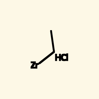 C[CH2][Zr].Cl